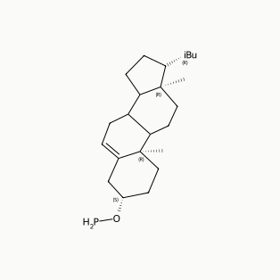 CC[C@@H](C)C1CCC2C3CC=C4C[C@@H](OP)CC[C@]4(C)C3CC[C@@]21C